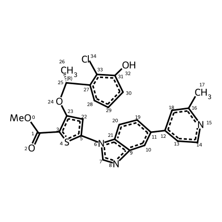 COC(=O)c1sc(-n2cnc3cc(-c4ccnc(C)c4)ccc32)cc1O[C@H](C)c1cccc(O)c1Cl